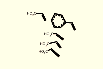 C=CC(=O)O.C=CC(=O)O.C=CC(=O)O.C=CC(=O)O.C=Cc1ccccc1